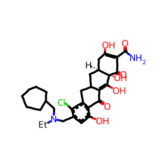 CCN(Cc1cc(O)c2c(c1Cl)CC1C[C@H]3CC(O)=C(C(N)=O)C(=O)[C@@]3(O)C(O)=C1C2=O)CC1CCCCCC1